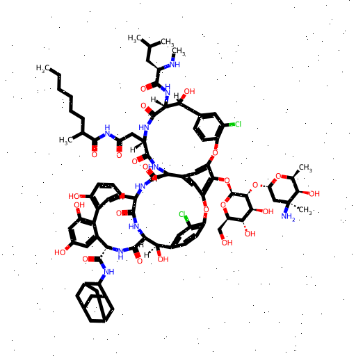 CCCCCCC(C)C(=O)NC(=O)C[C@@H]1NC(=O)[C@H](NC(=O)[C@@H](CC(C)C)NC)[C@H](O)c2ccc(c(Cl)c2)Oc2cc3cc(c2O[C@@H]2O[C@H](CO)[C@@H](O)[C@H](O)[C@H]2O[C@H]2C[C@](C)(N)[C@H](O)[C@H](C)O2)Oc2ccc(cc2Cl)[C@@H](O)[C@@H]2NC(=O)[C@H](NC(=O)[C@@H]3NC1=O)c1ccc(O)c(c1)-c1c(O)cc(O)cc1[C@@H](C(=O)NC1C3CC4CC(C3)CC1C4)NC2=O